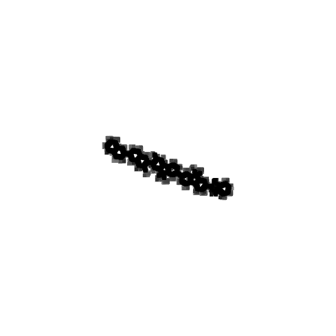 Cc1cc2c(cc1-c1cc3ccc(-c4ccc5ccccc5c4)cc3cc1C)C(C)(C)c1cc(-c3ccc4c(c3)C(C)(C)c3cc(-c5nc6ccccc6s5)ccc3-4)ccc1-2